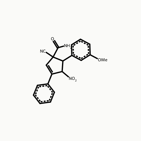 COc1cccc(C2C([N+](=O)[O-])C(c3ccccc3)=CC2(C#N)C(N)=O)c1